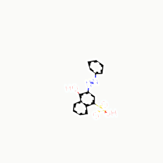 O=S(=O)(O)c1cc(/N=N/c2ccccc2)c(O)c2ccccc12